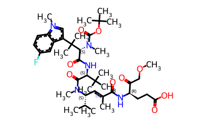 COCC(=O)[C@@H](CCC(=O)O)NC(=O)/C(C)=C/[C@H](C(C)C)N(C)C(=O)[C@@H](NC(=O)[C@@H](N(C)C(=O)OC(C)(C)C)C(C)(C)c1cn(C)c2ccc(F)cc12)C(C)(C)C